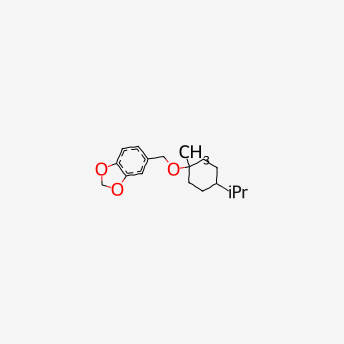 CC(C)C1CCC(C)(OCc2ccc3c(c2)OCO3)CC1